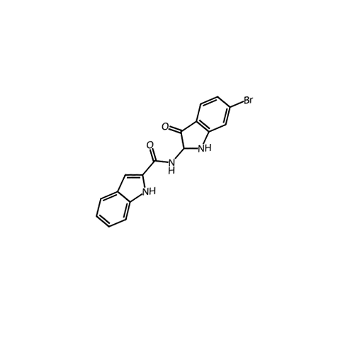 O=C(NC1Nc2cc(Br)ccc2C1=O)c1cc2ccccc2[nH]1